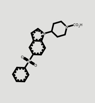 O=C(O)N1CCC(n2ccc3cc(S(=O)(=O)c4ccccc4)ccc32)CC1